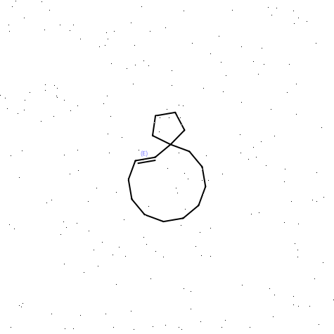 C1=C/C2(CCCCCCCCC/1)CCCC2